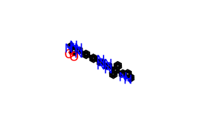 O=C1C(=O)c2nc(-c3ccc(-c4ccc(-c5cnc(-c6cnc(-c7c8ccccc8c(-c8cnc9c(ccc%10cccnc%109)c8)c8ccccc78)cn6)cn5)cc4)cc3)cnc2-c2nccnc21